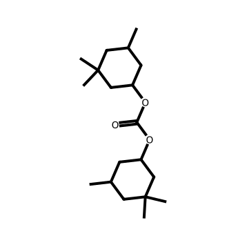 CC1CC(OC(=O)OC2CC(C)CC(C)(C)C2)CC(C)(C)C1